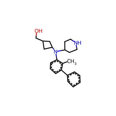 Cc1c(-c2ccccc2)cccc1N(C1CCNCC1)C1CC(CO)C1